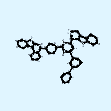 c1ccc(-c2cccc(-c3cc(-c4cccc5c4sc4ccccc45)nc(-c4ccc(-c5nc6sc7ccccc7c6c6ccccc56)cc4)n3)c2)cc1